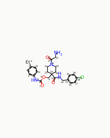 CCc1ccc(NC(=O)OCC2(C(=O)NCc3ccc(Cl)cc3)CCN(C(=O)CN)CC2)cc1